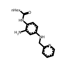 CCCCCCC(=O)Nc1ccc(NCc2ccccn2)cc1N